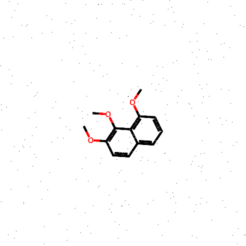 COc1ccc2cccc(OC)c2c1OC